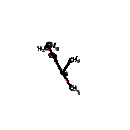 CCCCCC=CCCCC(=O)OC(CCCC=CCCCCC)CCCCC=CCCCCCOC(=O)CCCCCN(C)C